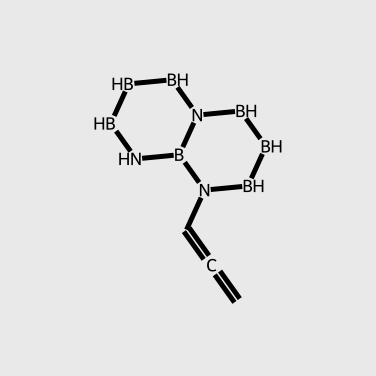 C=C=CN1BBBN2BBBNB21